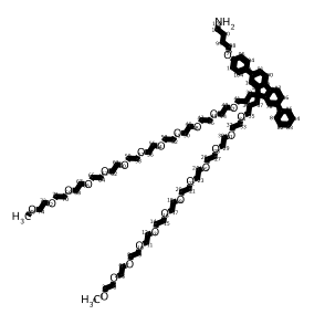 COCCOCCOCCOCCOCCOCCOCCOCCOCCOCCOCCOCCCC1(CCCOCCOCCOCCOCCOCCOCCOCCOCCOCCOCCOCCOC)c2cc(-c3ccccc3)ccc2-c2ccc(-c3ccc(OCCCCN)cc3)cc21